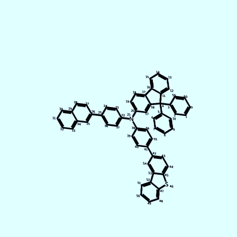 c1ccc(C2(c3ccccc3)c3ccccc3-c3ccc(N(c4ccc(-c5ccc6ccccc6c5)cc4)c4ccc(-c5ccc6sc7ccccc7c6c5)cc4)cc32)cc1